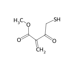 C=C(C(=O)CS)C(=O)OC